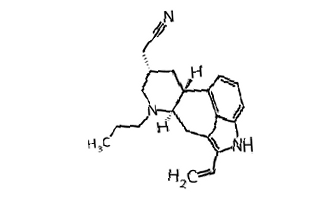 C=Cc1[nH]c2cccc3c2c1C[C@@H]1[C@@H]3C[C@@H](CC#N)CN1CCC